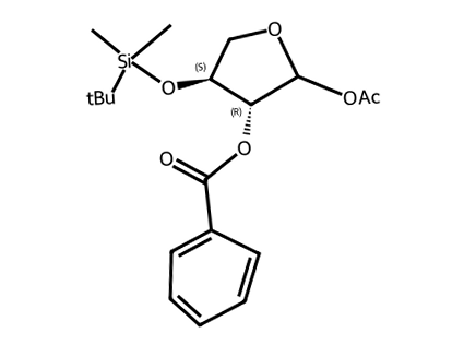 CC(=O)OC1OC[C@H](O[Si](C)(C)C(C)(C)C)[C@H]1OC(=O)c1ccccc1